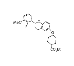 CCOC(=O)C1CCC(Oc2ccc3c(c2)CCC(c2cccc(OC)c2F)O3)CC1